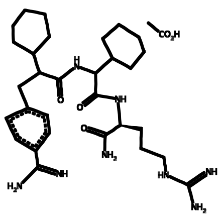 CC(=O)O.N=C(N)NCCC[C@H](NC(=O)C(NC(=O)C(Cc1ccc(C(=N)N)cc1)C1CCCCC1)C1CCCCC1)C(N)=O